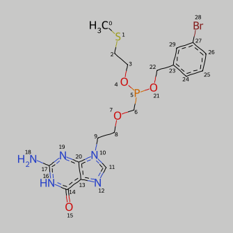 CSCCOP(COCCn1cnc2c(=O)[nH]c(N)nc21)OCc1cccc(Br)c1